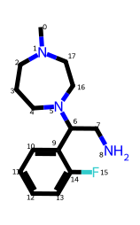 CN1CCCN(C(CN)c2ccccc2F)CC1